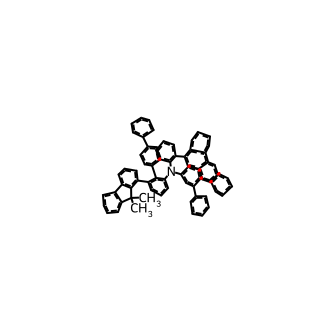 CC1(C)c2ccccc2-c2cccc(-c3cccc(N(c4ccc(-c5ccccc5)c(-c5ccccc5)c4)c4ccccc4-c4cc5ccccc5c5ccccc45)c3-c3ccc(-c4ccccc4)cc3)c21